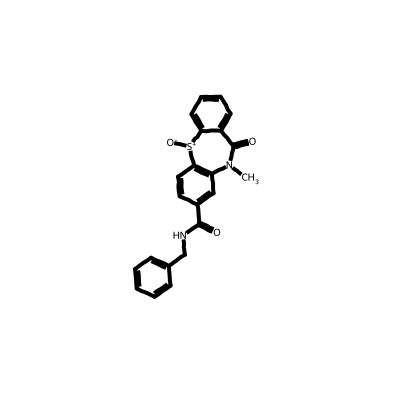 CN1C(=O)c2ccccc2[S+]([O-])c2ccc(C(=O)NCc3ccccc3)cc21